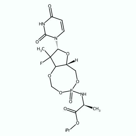 CC(C)OC(=O)[C@H](C)NP1(=O)OCOC2[C@@H](CO1)O[C@@H](n1ccc(=O)[nH]c1=O)C2(C)F